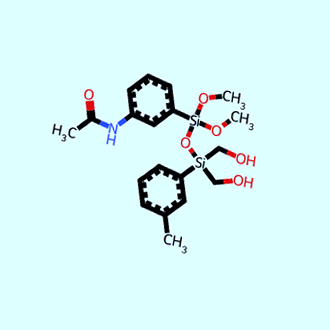 CO[Si](OC)(O[Si](CO)(CO)c1cccc(C)c1)c1cccc(NC(C)=O)c1